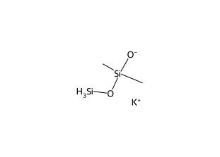 C[Si](C)([O-])O[SiH3].[K+]